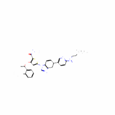 CCN(CCNC)c1ccc(C2C=Cc3c(ncn3-c3cc(OC(C)c4ccccc4C(F)(F)F)c(C(N)=O)s3)C2)cn1